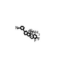 CN1OC2(N=C1N)c1cc(-c3cccc(C#N)c3)ccc1CC21CCc2c(ccc(F)c2F)C1